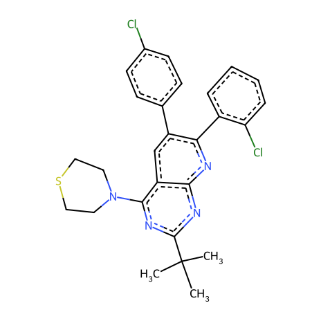 CC(C)(C)c1nc(N2CCSCC2)c2cc(-c3ccc(Cl)cc3)c(-c3ccccc3Cl)nc2n1